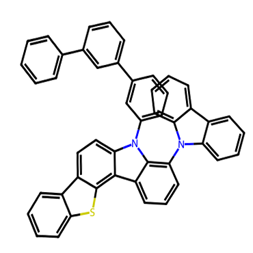 c1ccc(-c2cccc(-c3cccc(-n4c5ccc6c7ccccc7sc6c5c5cccc(-n6c7ccccc7c7ccccc76)c54)c3)c2)cc1